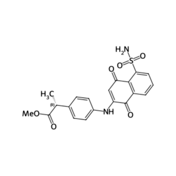 COC(=O)[C@H](C)c1ccc(NC2=CC(=O)c3c(cccc3S(N)(=O)=O)C2=O)cc1